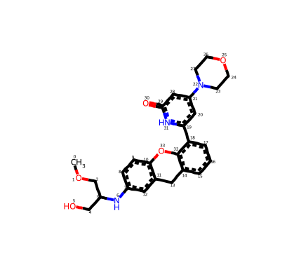 COCC(CO)Nc1ccc2c(c1)Cc1cccc(-c3cc(N4CCOCC4)cc(=O)[nH]3)c1O2